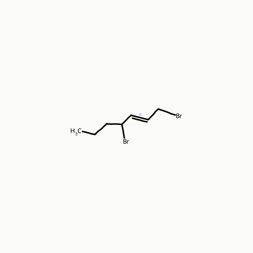 CCCC(Br)/C=C/CBr